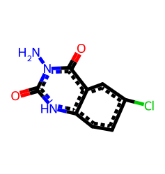 Nn1c(=O)[nH]c2ccc(Cl)cc2c1=O